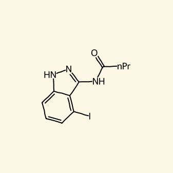 CCCC(=O)Nc1n[nH]c2cccc(I)c12